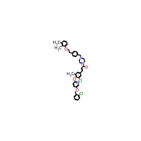 Cc1cccc(OCCc2ccc(CN3CCN(C(=O)/C=C/c4cc(C)c(Oc5ccc(OCc6ccccc6Cl)cn5)c(Cl)c4)CC3)cc2)c1C